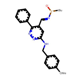 COc1ccc(CNc2cc(C=N[S+]([O-])C(C)(C)C)c(-c3ccccc3)nn2)cc1